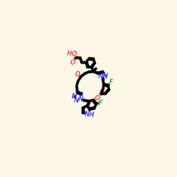 CC1(c2cccc(CCC(=O)O)c2)CCC(=O)CCc2cn(nn2)Cc2c(c(F)cc3[nH]ccc23)Oc2ccc(F)c(c2)-c2ncc1[nH]2